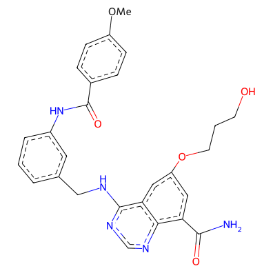 COc1ccc(C(=O)Nc2cccc(CNc3ncnc4c(C(N)=O)cc(OCCCO)cc34)c2)cc1